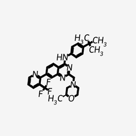 C[C@H]1CN(Cc2nc(Nc3ccc(C(C)(C)C)cc3)c3ccc(-c4ncccc4C(F)(F)F)cc3n2)CCO1